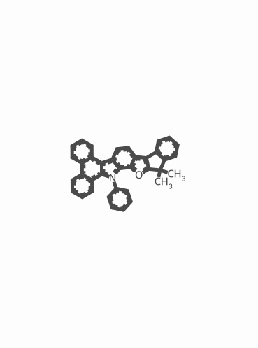 CC1(C)c2ccccc2-c2c1oc1c2ccc2c3c4ccccc4c4ccccc4c3n(-c3ccccc3)c21